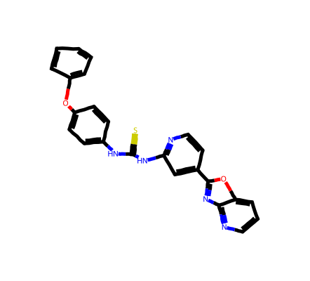 S=C(Nc1ccc(Oc2ccccc2)cc1)Nc1cc(-c2nc3ncccc3o2)ccn1